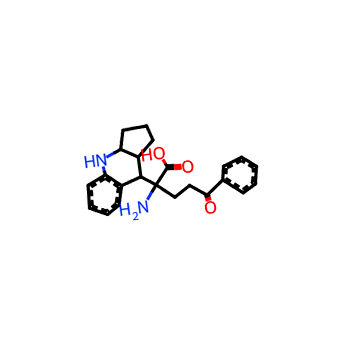 NC(CCC(=O)c1ccccc1)(C(=O)O)C1c2ccccc2NC2CCCC21